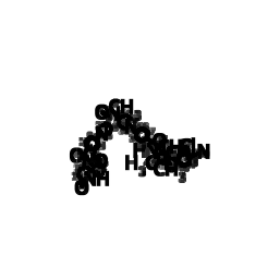 CN(C(=O)[C@@H]1CCN(c2ccc3c(c2)C(=O)N(C2CCC(=O)NC2=O)C3=O)C1)C1CCN(c2ccc(C(=O)NC3C(C)(C)C(Oc4ccc(C#N)c(Cl)c4)C3(C)C)cc2)CC1